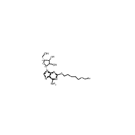 Nc1nc(SCCCCCCCBr)nc2c1ncn2[C@@H]1O[C@H](CO)C(O)C1O